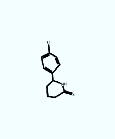 S=C1CCCC(c2ccc(Cl)cc2)N1